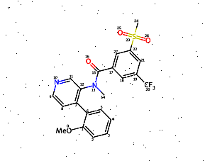 COc1ccccc1-c1ccncc1N(C)C(=O)c1cc(C(F)(F)F)cc(S(C)(=O)=O)c1